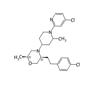 CC1CC(N2C[C@H](C)OC[C@@H]2CCc2ccc(Cl)cc2)CCN1c1cc(Cl)ccn1